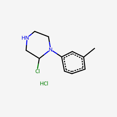 Cc1cccc(N2CCNCC2Cl)c1.Cl